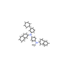 CN(c1ccc(N(c2cccc(-c3ccccc3)c2)c2ccc3ccccc3c2)cc1)c1ccc2ccccc2c1